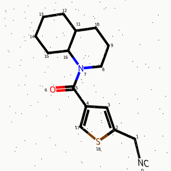 [C-]#[N+]Cc1cc(C(=O)N2CCCC3CCCCC32)cs1